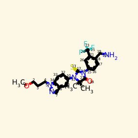 COCCCn1ncc2cc(N3C(=S)N(c4ccc(CN)c(C(F)(F)F)c4)C(=O)C3(C)C)ccc21